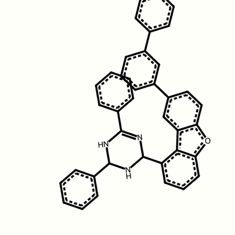 c1ccc(C2=NC(c3cccc4oc5ccc(-c6cccc(-c7ccccc7)c6)cc5c34)NC(c3ccccc3)N2)cc1